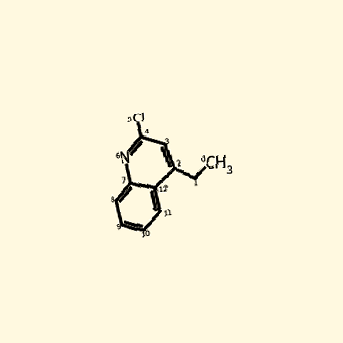 CCc1cc(Cl)nc2ccccc12